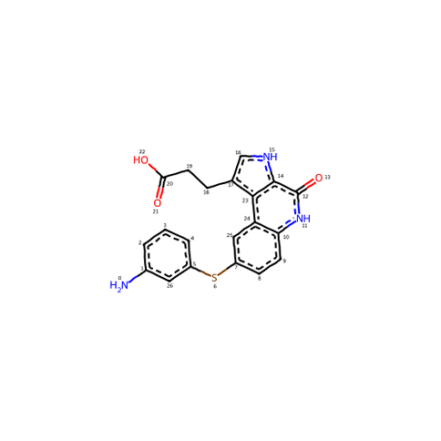 Nc1cccc(Sc2ccc3[nH]c(=O)c4[nH]cc(CCC(=O)O)c4c3c2)c1